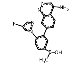 CB(O)c1ccc(-n2cc(F)cn2)c(-c2ccc3c(N)cnnc3c2)c1